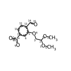 COC(COc1cc([N+](=O)[O-])ccc1C=O)OC